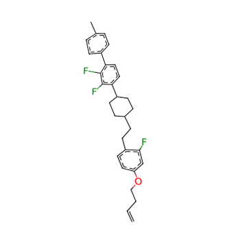 C=CCCOc1ccc(CCC2CCC(c3ccc(-c4ccc(C)cc4)c(F)c3F)CC2)c(F)c1